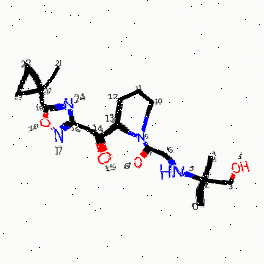 CC(C)(CO)NCC(=O)N1CCCC1C(=O)c1noc(C2(C)CC2)n1